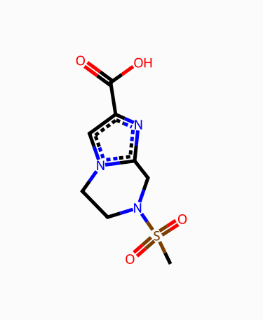 CS(=O)(=O)N1CCn2cc(C(=O)O)nc2C1